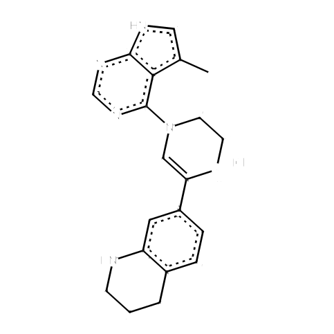 Cc1c[nH]c2ncnc(N3C=C(c4ccc5c(c4)NCCC5)SCC3)c12.Cl